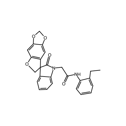 CCc1ccccc1NC(=O)CN1C(=O)C2(COc3cc4c(cc32)OCO4)c2ccccc21